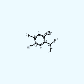 Fc1cc(Br)c(C(F)F)cc1F